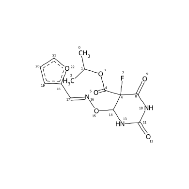 CC(C)OC(=O)C1(F)C(=O)NC(=O)NC1ON=Cc1ccco1